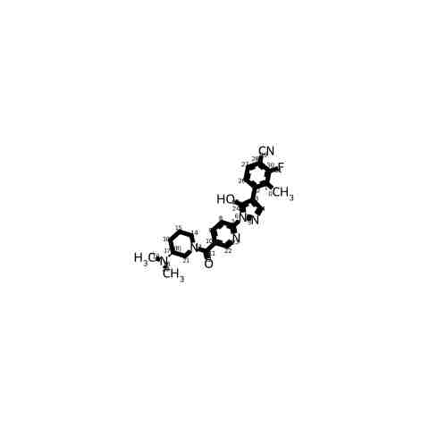 Cc1c(-c2cnn(-c3ccc(C(=O)N4CCC[C@@H](N(C)C)C4)cn3)c2O)ccc(C#N)c1F